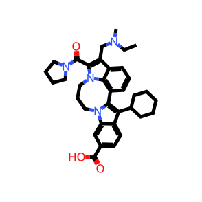 CCN(C)Cc1c(C(=O)N2CCCC2)n2c3c(cccc13)-c1c(C3CCCCC3)c3ccc(C(=O)O)cc3n1CCC2